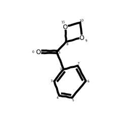 O=C(c1ccccc1)C1OCO1